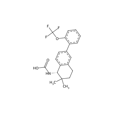 CC1(C)CCc2cc(-c3ccccc3OC(F)(F)F)ccc2[C@H]1NC(=O)O